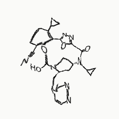 N#Cc1ccc(C2CC2)c(-c2nnc(C(=O)N(C3CC3)[C@@H]3C[C@@H](Cn4ccnn4)N(C(=O)O)C3)o2)c1